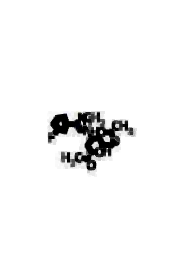 C=N/C(=C\N[C@@H]1C[C@H](C(C)=O)O[C@@H]2COC(C)O[C@H]12)c1cccc(F)c1